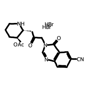 Br.Br.CC(=O)O[C@H]1CCCN[C@@H]1CC(=O)Cn1cnc2ccc(C#N)cc2c1=O